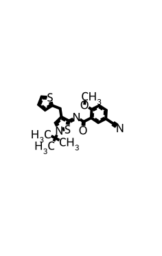 COc1ccc(C#N)cc1C(=O)N=c1sn(C(C)(C)C)cc1Cc1cccs1